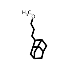 COCCCC1C2CC3CC(C2)CC1C3